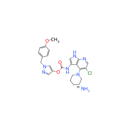 COc1ccc(Cn2cc(OC(=O)Nc3c[nH]c4ncc(Cl)c(N5CCC[C@@H](N)C5)c34)cn2)cc1